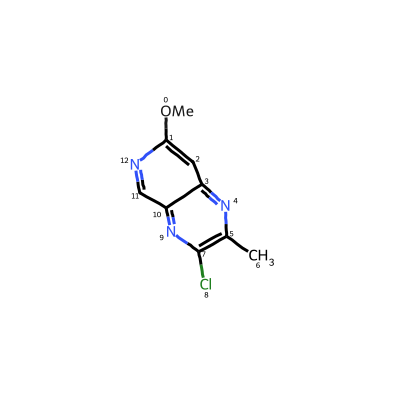 COc1cc2nc(C)c(Cl)nc2cn1